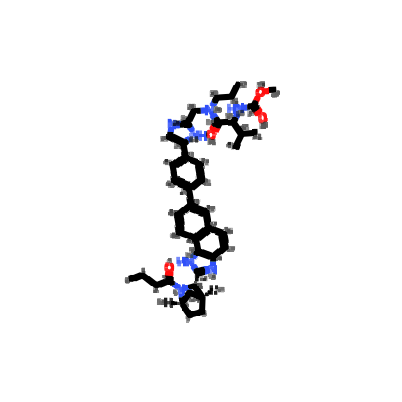 CCCC(=O)N1[C@@H]2CC[C@@H](C2)[C@H]1c1nc2ccc3cc(-c4ccc(-c5cnc(CN(CCC)C(=O)C(NC(=O)OC)C(C)C)[nH]5)cc4)ccc3c2[nH]1